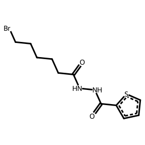 O=C(CCCCCBr)NNC(=O)c1cccs1